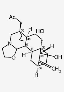 C=C1[C@H]2CC[C@@]3(CC[C@@H]4[C@]5(CC(C)=O)CCC[C@@]4(C4OCCN4C5)[C@@H]3C2)[C@@H]1O.Cl